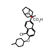 CC1CCC(Oc2ccc3cc(C(C)N4C5CCC4CC(C(=O)O)C5)ccc3c2Cl)CC1